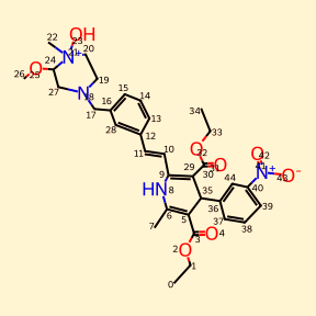 CCOC(=O)C1=C(C)NC(C=Cc2cccc(CN3CC[N+](C)(O)C(OC)C3)c2)=C(C(=O)OCC)C1c1cccc([N+](=O)[O-])c1